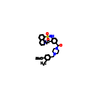 COc1ccc(CN2CCN(C(=O)c3ccc(NS(=O)(=O)c4cccc5cccnc45)c(C)c3)CC2)cc1C